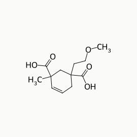 COCCC1(C(=O)O)CC=CC(C)(C(=O)O)C1